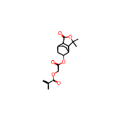 C=C(C)C(=O)OCC(=O)OC1CC2CCC1C1C2C(=O)OC1(C)C